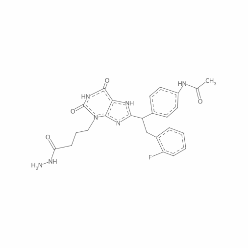 CC(=O)Nc1ccc(C(Cc2ccccc2F)c2nc3c([nH]2)c(=O)[nH]c(=O)n3CCCC(=O)NN)cc1